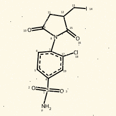 NS(=O)(=O)c1ccc(N2C(=O)CC(CI)C2=O)c(Cl)c1